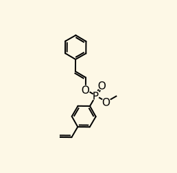 C=Cc1ccc(P(=O)(OC)OC=Cc2ccccc2)cc1